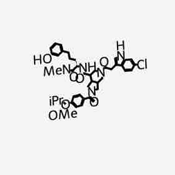 CNC(=O)[C@H](CCCc1cccc(O)c1)NC(=O)C1CN(C(=O)Cc2c[nH]c3cc(Cl)ccc23)CC2CN(C(=O)c3ccc(OC(C)C)c(OC)c3)CC21